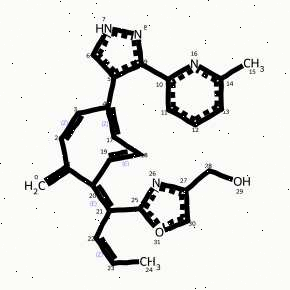 C=C1\C=C/C(c2c[nH]nc2-c2cccc(C)n2)=C/C=C/C1=C(/C=C\C)c1nc(CO)co1